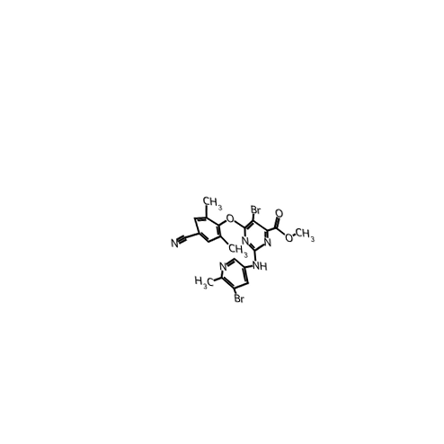 COC(=O)c1nc(Nc2cnc(C)c(Br)c2)nc(Oc2c(C)cc(C#N)cc2C)c1Br